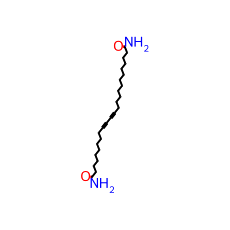 NC(=O)CCCCCCCCC#CC#CCCCCCCCCCCCC(N)=O